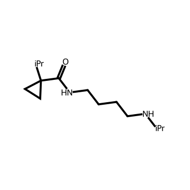 CC(C)NCCCCNC(=O)C1(C(C)C)CC1